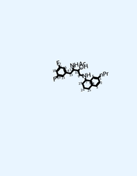 CCCc1ccc2c(c1)C(NCC(O)C(Cc1cc(F)cc(F)c1)NC(C)=O)CCC2